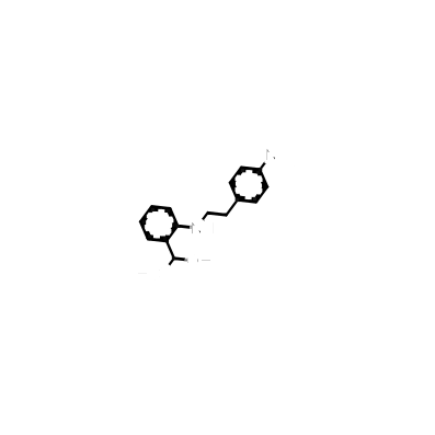 CC(O)c1ccccc1NCCc1ccc(N)cc1